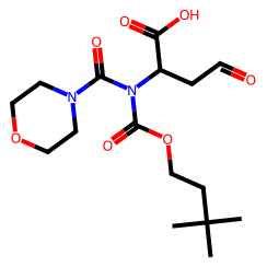 CC(C)(C)CCOC(=O)N(C(=O)N1CCOCC1)C(CC=O)C(=O)O